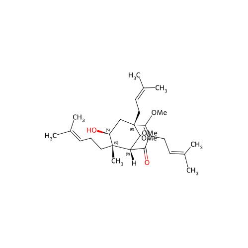 COC1=C(CC=C(C)C)C(=O)[C@H]2C(OC)(OC)[C@]1(CC=C(C)C)C[C@H](O)[C@@]2(C)CCC=C(C)C